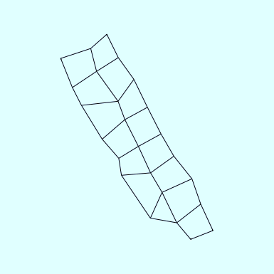 C1CC23C1C1C4C5C6C7C8CC9CC%10C%11C%12C%13C%14C2C13C4%14C5%13C6%12C7%11C98%10